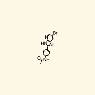 CC(=O)Nc1ccc(-c2nc3cc(Br)cnc3[nH]2)cc1